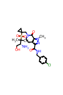 Cn1nc(C(=O)NCc2ccc(Cl)cc2)c2c1C(=O)N(CC1(S(=O)(=O)C(C)(C)[C@H](N)CO)CC1)CC2